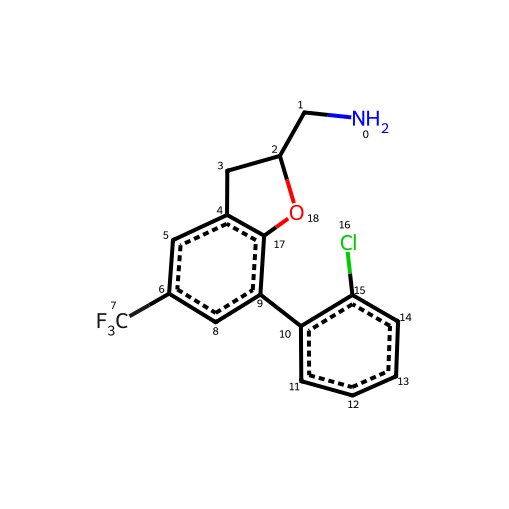 NCC1Cc2cc(C(F)(F)F)cc(-c3ccccc3Cl)c2O1